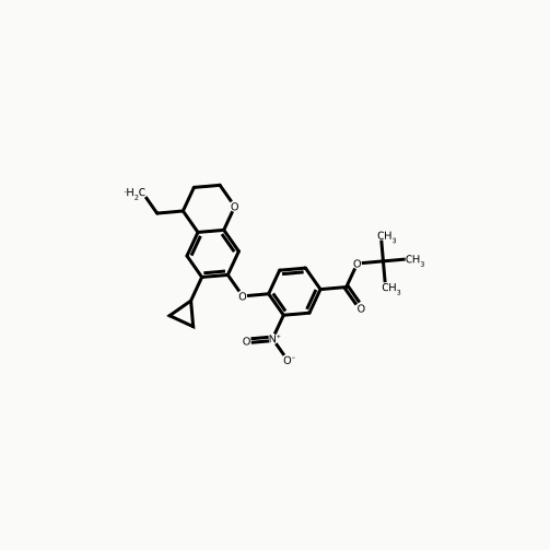 [CH2]CC1CCOc2cc(Oc3ccc(C(=O)OC(C)(C)C)cc3[N+](=O)[O-])c(C3CC3)cc21